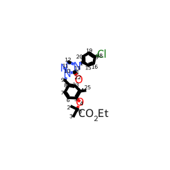 CCOC(=O)C(C)(C)Oc1ccc(Cn2ncn(-c3ccc(Cl)cc3)c2=O)cc1C